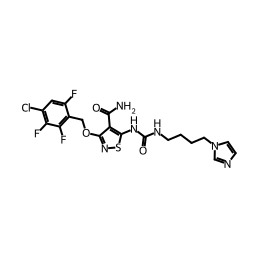 NC(=O)c1c(OCc2c(F)cc(Cl)c(F)c2F)nsc1NC(=O)NCCCCn1ccnc1